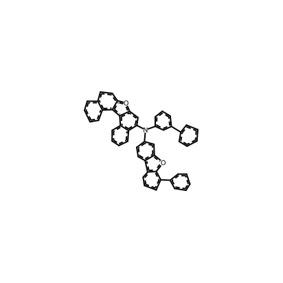 c1ccc(-c2cccc(N(c3ccc4c(c3)oc3c(-c5ccccc5)cccc34)c3cc4oc5ccc6ccccc6c5c4c4ccccc34)c2)cc1